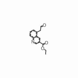 CCOC(=O)c1cnc2cccc(CC=O)c2c1